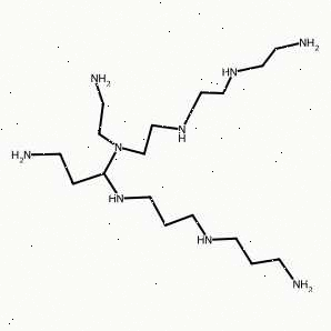 NCCCNCCCNC(CCN)N(CCN)CCNCCNCCN